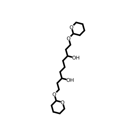 OC(CCCC(O)CCOC1CCCCO1)CCOC1CCCCO1